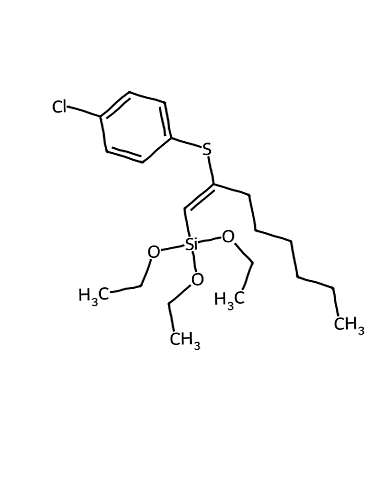 CCCCCCC(=C[Si](OCC)(OCC)OCC)Sc1ccc(Cl)cc1